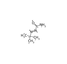 CC(C)(C)N=NC(N)=O